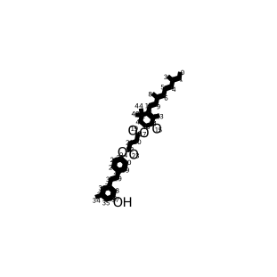 C/C=C(C)/C=C/C=C(C)/C=C/C1=C(C)C(=O)C(OC(=O)CCC(=O)Oc2ccc(/C=C/c3cc(C)cc(O)c3)cc2)CC1(C)C